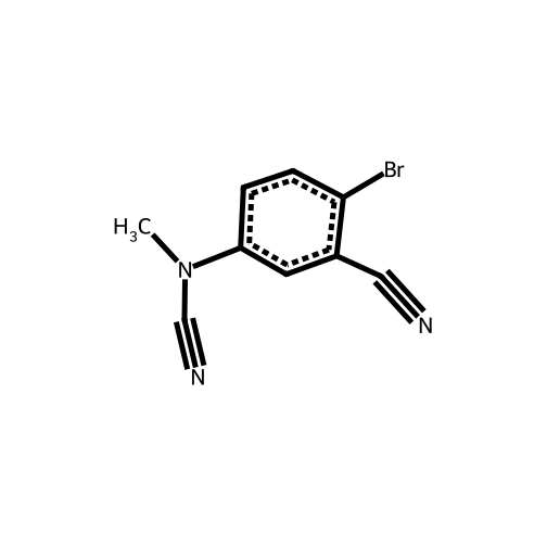 CN(C#N)c1ccc(Br)c(C#N)c1